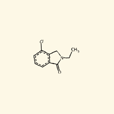 CCN1Cc2c(Cl)cccc2C1=O